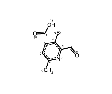 Cc1ccc(Br)c(C=O)n1.O=CO